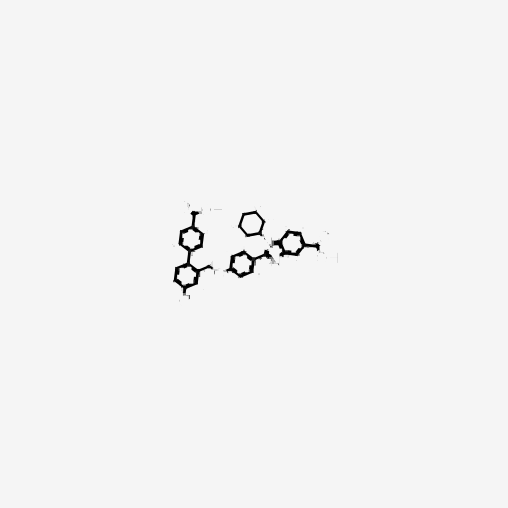 O=C(O)c1ccc(-c2ccc(Cl)cc2COc2ccc(-c3nc4cc(C(=O)O)ccc4n3C3CCCCC3)cc2)cc1